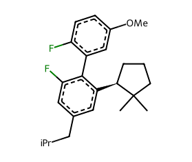 COc1ccc(F)c(-c2c(F)cc(CC(C)C)cc2[C@H]2CCCC2(C)C)c1